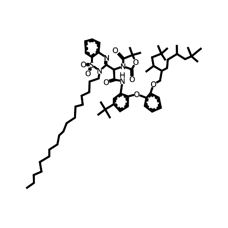 CCCCCCCCCCCCCCCCCCN1C(C(C(=O)Nc2cc(C(C)(C)C)ccc2Oc2ccccc2OCC(CCC(C)CC(C)(C)C)C(C)CC(C)(C)C)N2C(=O)OC(C)(C)C2=O)=Nc2ccccc2S1(=O)=O